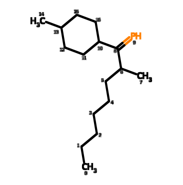 CCCCCCC(C)C(=P)C1CCC(C)CC1